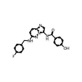 O=C(Nc1cnc2ccc(NCc3ccc(F)cc3)nn12)c1ccc(O)cc1